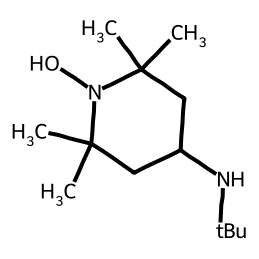 CC(C)(C)NC1CC(C)(C)N(O)C(C)(C)C1